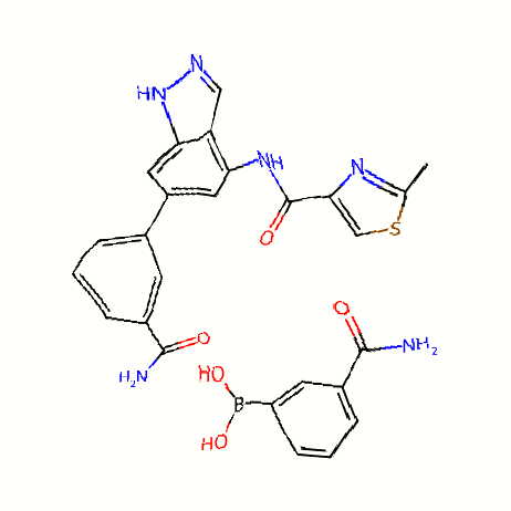 Cc1nc(C(=O)Nc2cc(-c3cccc(C(N)=O)c3)cc3[nH]ncc23)cs1.NC(=O)c1cccc(B(O)O)c1